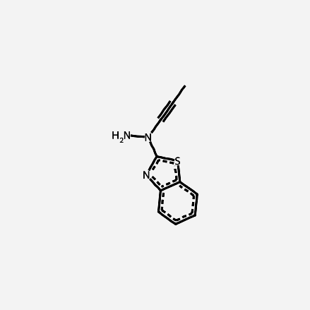 CC#CN(N)c1nc2ccccc2s1